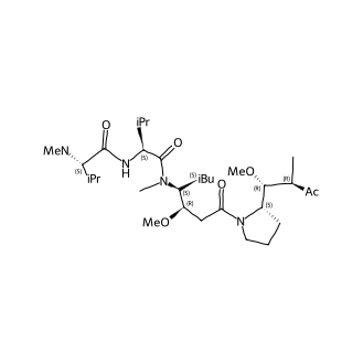 CC[C@H](C)[C@@H]([C@@H](CC(=O)N1CCC[C@H]1[C@H](OC)[C@@H](C)C(C)=O)OC)N(C)C(=O)[C@@H](NC(=O)[C@@H](NC)C(C)C)C(C)C